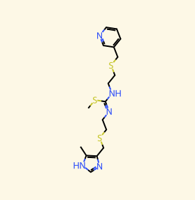 CS/C(=N\CCSCc1nc[nH]c1C)NCCSCc1cccnc1